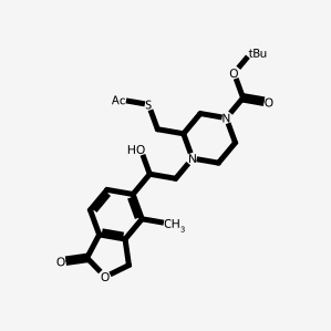 CC(=O)SCC1CN(C(=O)OC(C)(C)C)CCN1CC(O)c1ccc2c(c1C)COC2=O